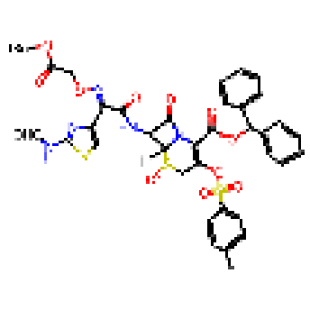 Cc1ccc(S(=O)(=O)OC2=C(C(=O)OC(c3ccccc3)c3ccccc3)N3C(=O)C(NC(=O)/C(=N/OCC(=O)OC(C)(C)C)c4csc(NC=O)n4)[C@H]3[S+]([O-])C2)cc1